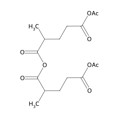 CC(=O)OC(=O)CCC(C)C(=O)OC(=O)C(C)CCC(=O)OC(C)=O